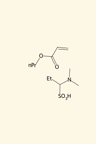 C=CC(=O)OCCC.CCC(N(C)C)S(=O)(=O)O